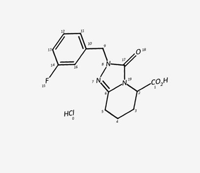 Cl.O=C(O)C1CCCc2nn(Cc3cccc(F)c3)c(=O)n21